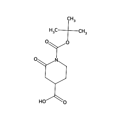 CC(C)(C)OC(=O)N1CCC(C(=O)O)CC1=O